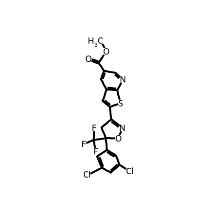 COC(=O)c1cnc2sc(C3=NOC(c4cc(Cl)cc(Cl)c4)(C(F)(F)F)C3)cc2c1